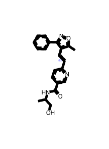 Cc1onc(-c2ccccc2)c1/C=C/c1ccc(C(=O)NC(C)CO)cn1